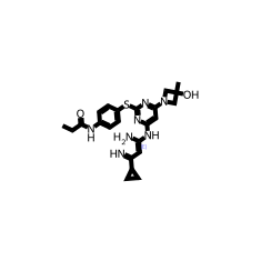 CCC(=O)Nc1ccc(Sc2nc(N/C(N)=C/C(=N)C3CC3)cc(N3CC(C)(O)C3)n2)cc1